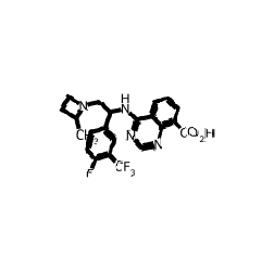 CC1CCN1CC(Nc1ncnc2c(C(=O)O)cccc12)c1ccc(F)c(C(F)(F)F)c1